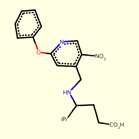 CC(C)C(CCC(=O)O)NCc1cc(Oc2ccccc2)ncc1[N+](=O)[O-]